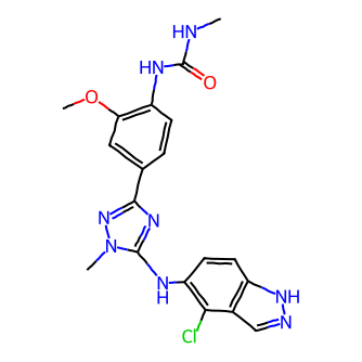 CNC(=O)Nc1ccc(-c2nc(Nc3ccc4[nH]ncc4c3Cl)n(C)n2)cc1OC